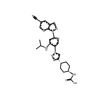 CC(C)[AsH]c1cc(-n2ncc3cc(C#N)cnc32)ncc1-n1cc([C@H]2CC[C@H](NC(=O)O)CC2)nn1